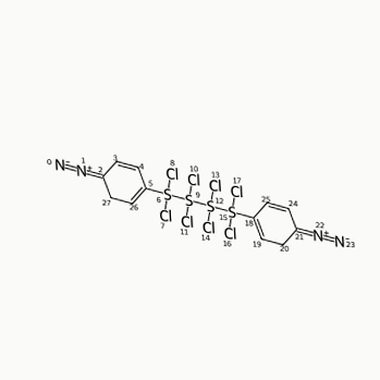 [N-]=[N+]=C1C=CC(S(Cl)(Cl)S(Cl)(Cl)S(Cl)(Cl)S(Cl)(Cl)C2=CCC(=[N+]=[N-])C=C2)=CC1